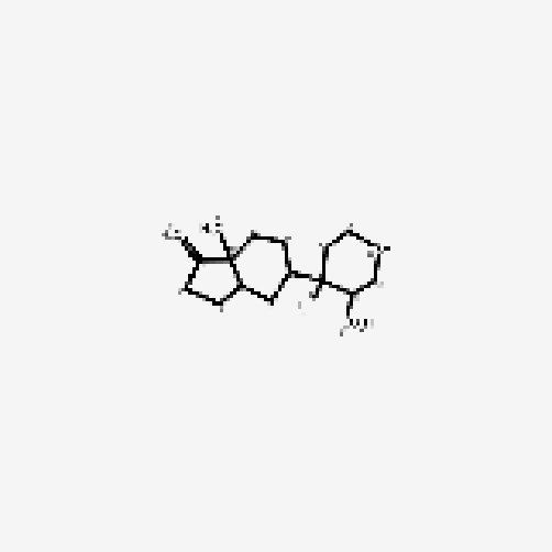 C=C1CCC2CC(C3(C)CCBCC3C(=O)O)CCC12C